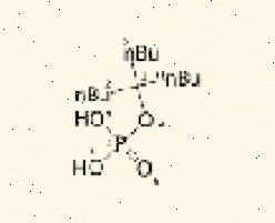 CCCCC(CCCC)(CCCC)OP(=O)(O)O